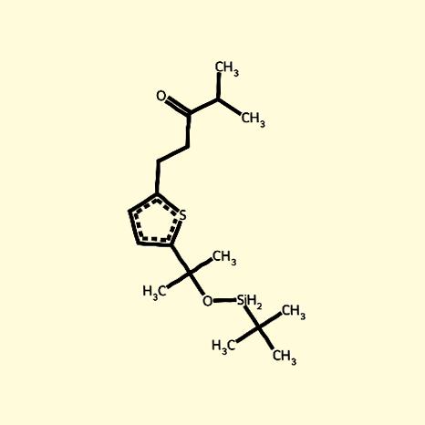 CC(C)C(=O)CCc1ccc(C(C)(C)O[SiH2]C(C)(C)C)s1